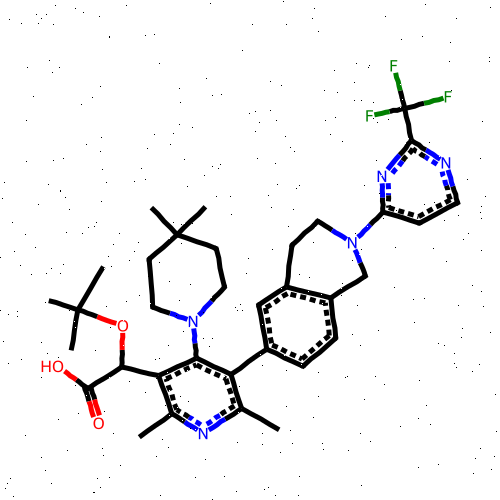 Cc1nc(C)c(C(OC(C)(C)C)C(=O)O)c(N2CCC(C)(C)CC2)c1-c1ccc2c(c1)CCN(c1ccnc(C(F)(F)F)n1)C2